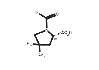 CC(C)C(=O)N1CC(O)(C(F)(F)F)C[C@H]1C(=O)O